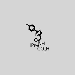 CC(C)[C@H](NC(=O)Cc1csc(-c2ccc(F)cc2)n1)C(=O)O